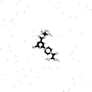 CC(C)C(=O)N1CCN(c2cc(C(=O)OC(C)(C)C)cc(Br)n2)CC1